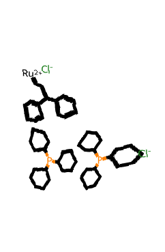 C1CCC(P(C2CCCCC2)C2CCCCC2)CC1.C1CCC(P(C2CCCCC2)C2CCCCC2)CC1.[Cl-].[Cl-].[Ru+2]=[CH]C=C(c1ccccc1)c1ccccc1